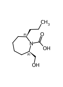 CCC[C@@H]1CCCC[C@H](CO)N1C(=O)O